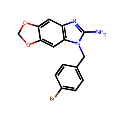 Nc1nc2cc3c(cc2n1Cc1ccc(Br)cc1)OCO3